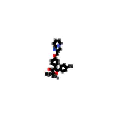 CC1(C)OC(c2ccc(C#N)cc2)=C(c2ccc(OCC3CN4C=CC=CC4=N3)cc2)C1=O